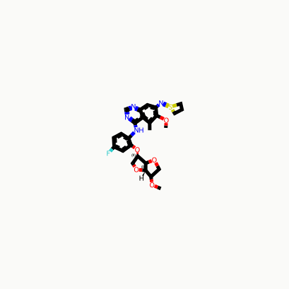 COc1c(N=S2CCC2)cc2ncnc(Nc3ccc(F)cc3O[C@@H]3CO[C@@H]4C(OC)COC43)c2c1C